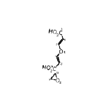 C1CO1.O=C(O)C=COC=CC(=O)O